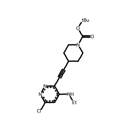 CCNc1cc(Cl)nnc1C#CC1CCN(C(=O)OC(C)(C)C)CC1